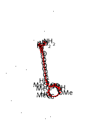 CO[C@H]1C[C@@H]2CC[C@@H](C)[C@@](O)(O2)C(=O)C(=O)N2CCCC[C@H]2C(=O)O[C@H]([C@H](C)C[C@@H]2CC[C@@H](OC(=S)NCCOCCOCCOCCOCCOCCOCCOCCOCCC(=O)N3CCc4cc(Cn5nc(-c6ccc7oc(N)nc7c6)c6c(N)ncnc65)ccc4C3)[C@H](OC)C2)C[C@@H](OC)[C@H](C)/C=C(\C)[C@@H](O)[C@@H](OC)C(=O)[C@H](C)C[C@H](C)/C=C/C=C/C=C/1C